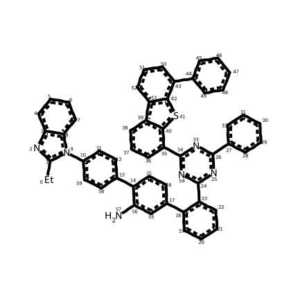 CCc1nc2ccccc2n1-c1ccc(-c2ccc(-c3ccccc3-c3nc(-c4ccccc4)nc(-c4cccc5c4sc4c(-c6ccccc6)cccc45)n3)cc2N)cc1